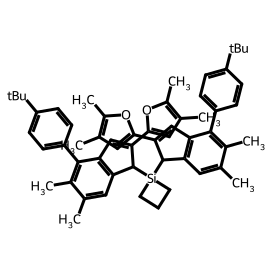 Cc1cc(C2=Cc3c(cc(C)c(C)c3-c3ccc(C(C)(C)C)cc3)C2[Si]2(C3C(c4cc(C)c(C)o4)=Cc4c3cc(C)c(C)c4-c3ccc(C(C)(C)C)cc3)CCC2)oc1C